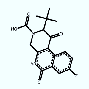 CC(C)(C)C1C(=O)c2c([nH]c(=O)c3cc(F)ccc23)CN1C(=O)O